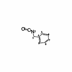 O=C=NCc1[c]cccc1